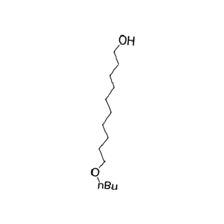 CCCCOCCCCCCCCCCO